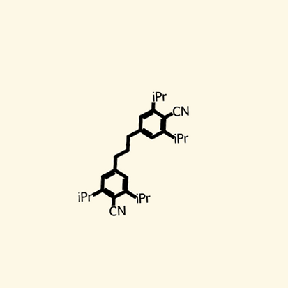 CC(C)c1cc(CCCc2cc(C(C)C)c(C#N)c(C(C)C)c2)cc(C(C)C)c1C#N